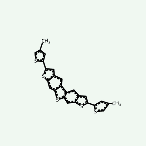 Cc1csc(-c2cc3cc4c(cc3s2)sc2cc3sc(-c5cc(C)cs5)cc3cc24)c1